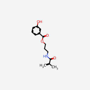 C=C(C)C(=O)NCCCOC(=O)c1cccc(O)c1